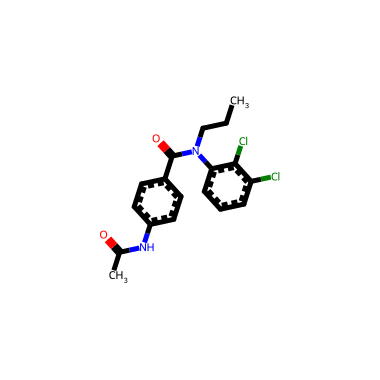 CCCN(C(=O)c1ccc(NC(C)=O)cc1)c1cccc(Cl)c1Cl